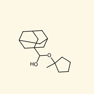 CC1(OC(O)C23CC4CC(CC(C4)C2)C3)CCCC1